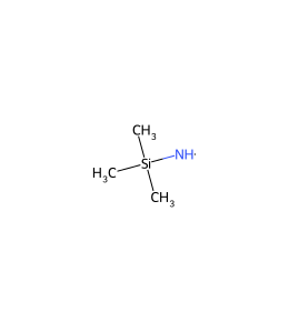 C[Si](C)(C)[NH]